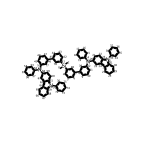 C[Si](C)(c1cccc(-c2cccc(N(c3ccccc3)c3ccc4c(c3)c3ccccc3n4-c3ccccc3)c2)c1)c1cccc(-c2cccc(N(c3ccccc3)c3ccc4c(c3)c3ccccc3n4-c3ccccc3)c2)c1